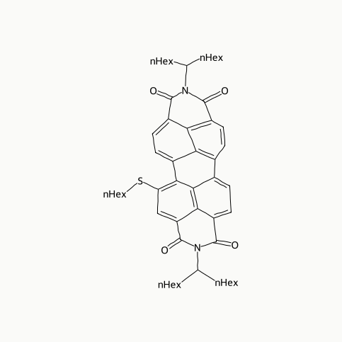 CCCCCCSc1cc2c3c(ccc4c5ccc6c7c(ccc(c1c34)c75)C(=O)N(C(CCCCCC)CCCCCC)C6=O)C(=O)N(C(CCCCCC)CCCCCC)C2=O